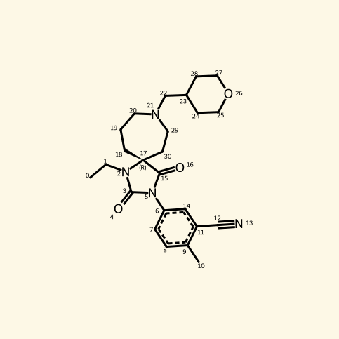 CCN1C(=O)N(c2ccc(C)c(C#N)c2)C(=O)[C@]12CCCN(CC1CCOCC1)CC2